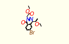 C=C(OCC)c1nn(CC(=O)OCC)c(=O)c2ccc(Br)cc12